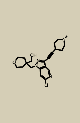 CN1CCC(C#Cc2nn(CC3(CO)CCOCC3)c3cc(Cl)ncc23)CC1